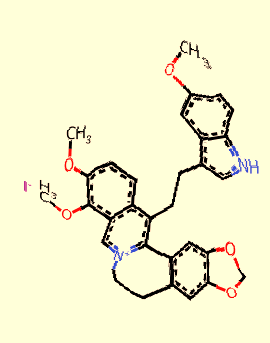 COc1ccc2[nH]cc(CCc3c4[n+](cc5c(OC)c(OC)ccc35)CCc3cc5c(cc3-4)OCO5)c2c1.[I-]